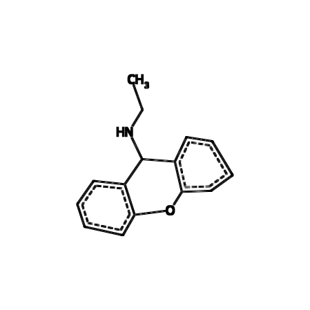 CCNC1c2ccccc2Oc2ccccc21